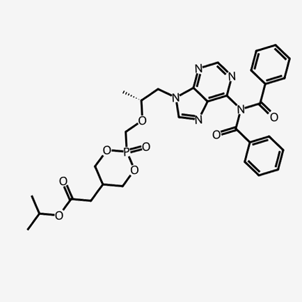 CC(C)OC(=O)CC1COP(=O)(CO[C@H](C)Cn2cnc3c(N(C(=O)c4ccccc4)C(=O)c4ccccc4)ncnc32)OC1